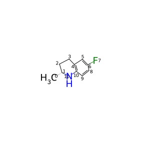 C[C@@H]1CCc2cc(F)ccc2N1